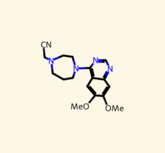 COc1cc2ncnc(N3CCCN(CC#N)CC3)c2cc1OC